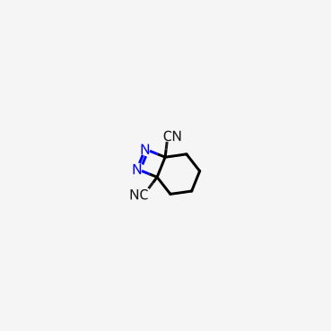 N#CC12CCCCC1(C#N)N=N2